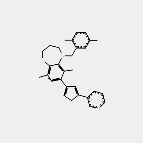 C/C=C(C1=CCC(c2cccnc2)=C1)\C(C)=C1/C(=C(C)C)NCCCN1Cc1cc(C(F)(F)F)ccc1O